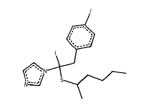 CCCCC(C)SC(I)(Cc1ccc(I)cc1)n1ccnc1